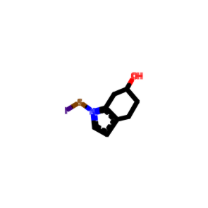 OC1CCc2ccn(SI)c2C1